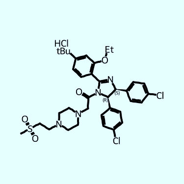 CCOc1cc(C(C)(C)C)ccc1C1=N[C@@H](c2ccc(Cl)cc2)[C@@H](c2ccc(Cl)cc2)N1C(=O)CN1CCN(CCS(C)(=O)=O)CC1.Cl